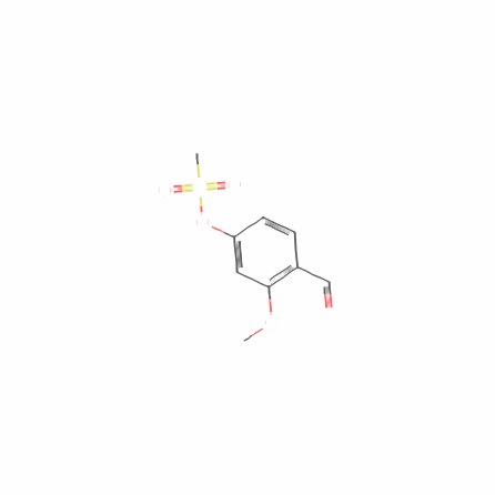 COc1cc(OS(C)(=O)=O)ccc1C=O